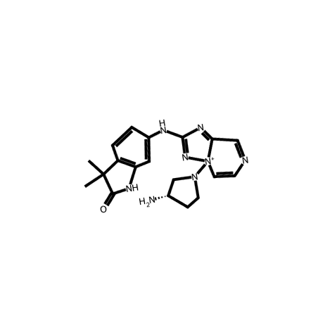 CC1(C)C(=O)Nc2cc(NC3=N[N+]4(N5CC[C@H](N)C5)C=CN=CC4=N3)ccc21